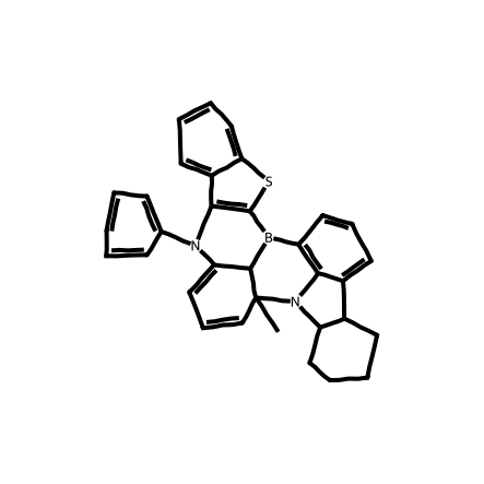 CC12C=CC=C3C1B(c1cccc4c1N2C1CCCCC41)c1sc2ccccc2c1N3c1ccccc1